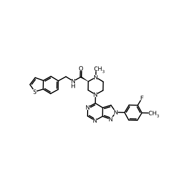 Cc1ccc(-n2cc3c(N4CCN(C)[C@H](C(=O)NCc5ccc6sccc6c5)C4)ncnc3n2)cc1F